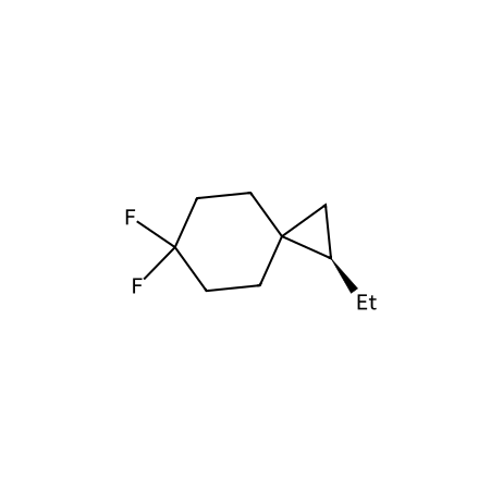 CC[C@@H]1CC12CCC(F)(F)CC2